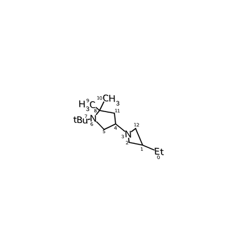 CCC1CN(C2CN(C(C)(C)C)C(C)(C)C2)C1